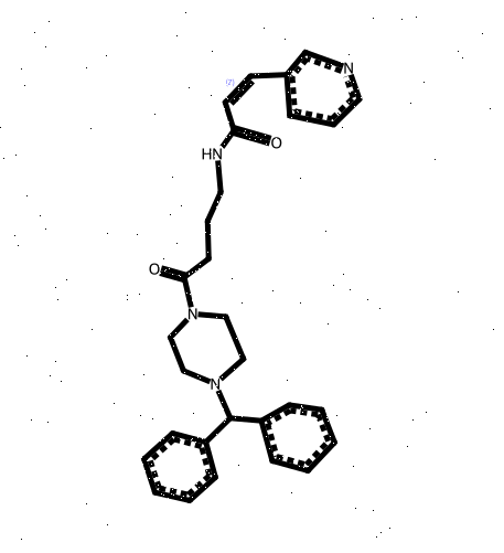 O=C(/C=C\c1cccnc1)NCCCC(=O)N1CCN(C(c2ccccc2)c2ccccc2)CC1